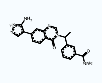 CNC(=O)c1cccc(C(C)n2cnc3cc(-c4cn[nH]c4N)ccc3c2=O)c1